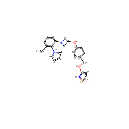 O=C(O)c1cccc(N2CC(Oc3ccc(COc4ccsn4)cc3)C2)c1-n1cccc1